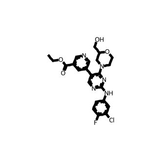 CCOC(=O)c1cncc(-c2cnc(Nc3ccc(F)c(Cl)c3)nc2N2CCOC(CO)C2)c1